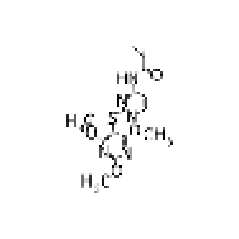 COc1nc(OC)c(Sc2nccc(NC(=O)C3CC3)n2)c(OC)n1